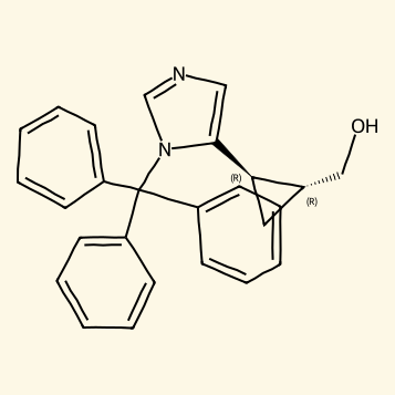 OC[C@@H]1C[C@H]1c1cncn1C(c1ccccc1)(c1ccccc1)c1ccccc1